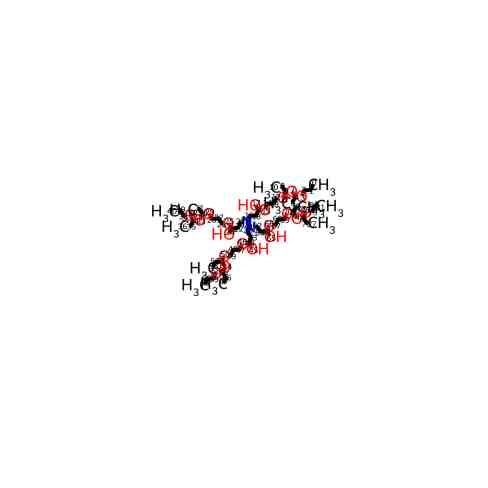 CCCOC(CC)OC(CC)OCCCOC(O)CCN(CCC(O)OCCCOC(CC)OC(CC)OCCC)N(CCC(O)OCCCOC(CC)OC(CC)OCCC)CCC(O)OCCCOC(CC)OC(CC)OCCC